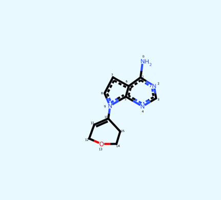 Nc1ncnc2c1ccn2C1=CCOCC1